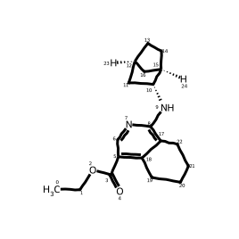 CCOC(=O)c1cnc(N[C@@H]2C[C@H]3CC[C@@H]2C3)c2c1CCCC2